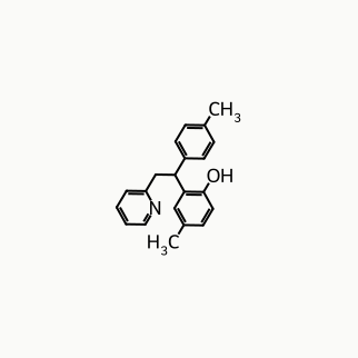 Cc1ccc(C(Cc2ccccn2)c2cc(C)ccc2O)cc1